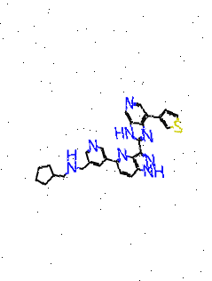 c1cc(-c2cncc3[nH]c(-c4n[nH]c5ccc(-c6cncc(CNCC7CCCC7)c6)nc45)nc23)cs1